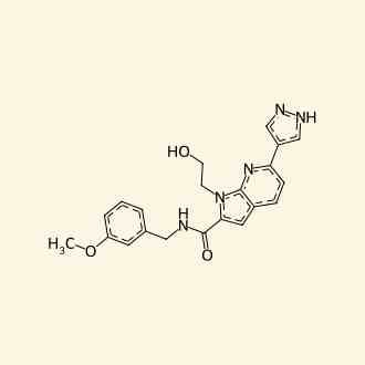 COc1cccc(CNC(=O)c2cc3ccc(-c4cn[nH]c4)nc3n2CCO)c1